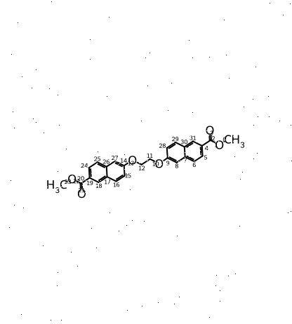 COC(=O)c1ccc2cc(OCCOc3ccc4cc(C(=O)OC)ccc4c3)ccc2c1